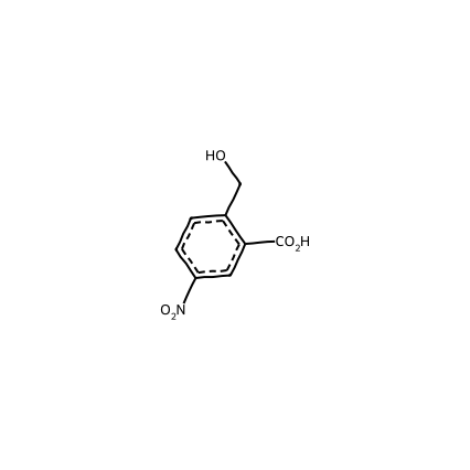 O=C(O)c1cc([N+](=O)[O-])ccc1CO